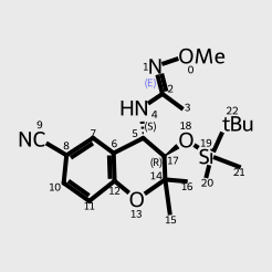 CO/N=C(\C)N[C@H]1c2cc(C#N)ccc2OC(C)(C)[C@@H]1O[Si](C)(C)C(C)(C)C